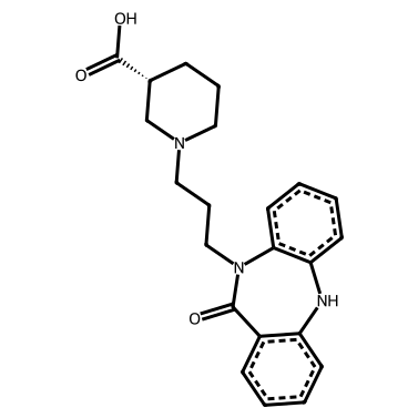 O=C(O)[C@@H]1CCCN(CCCN2C(=O)c3ccccc3Nc3ccccc32)C1